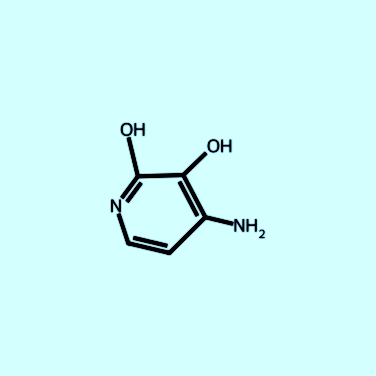 Nc1ccnc(O)c1O